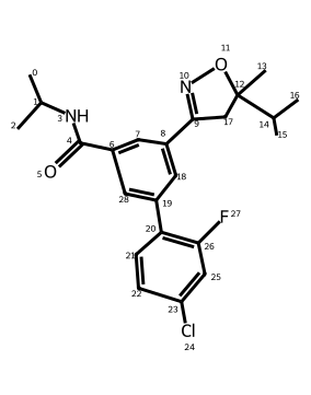 CC(C)NC(=O)c1cc(C2=NOC(C)(C(C)C)C2)cc(-c2ccc(Cl)cc2F)c1